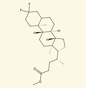 COC(=O)CC[C@@H](C)[C@H]1CC[C@H]2[C@@H]3CCC4CC(F)(F)CC[C@]4(C)[C@H]3CC[C@]12C